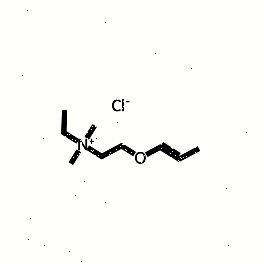 CC=COCC[N+](C)(C)CC.[Cl-]